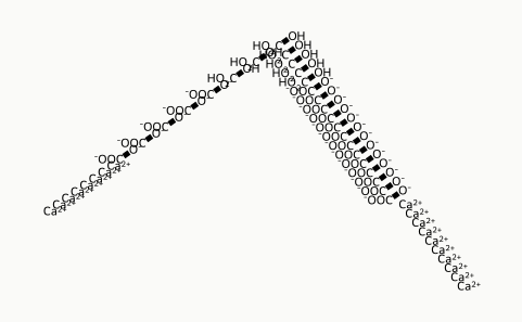 O=C(O)O.O=C(O)O.O=C(O)O.O=C(O)O.O=C(O)O.O=C(O)O.O=C(O)O.O=C([O-])[O-].O=C([O-])[O-].O=C([O-])[O-].O=C([O-])[O-].O=C([O-])[O-].O=C([O-])[O-].O=C([O-])[O-].O=C([O-])[O-].O=C([O-])[O-].O=C([O-])[O-].O=C([O-])[O-].O=C([O-])[O-].O=C([O-])[O-].O=C([O-])[O-].O=C([O-])[O-].O=C([O-])[O-].O=C([O-])[O-].O=C([O-])[O-].[Ca+2].[Ca+2].[Ca+2].[Ca+2].[Ca+2].[Ca+2].[Ca+2].[Ca+2].[Ca+2].[Ca+2].[Ca+2].[Ca+2].[Ca+2].[Ca+2].[Ca+2].[Ca+2].[Ca+2].[Ca+2]